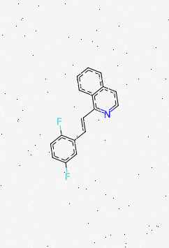 Fc1ccc(F)c(/C=C/c2nccc3ccccc23)c1